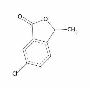 CC1OC(=O)c2cc(Cl)ccc21